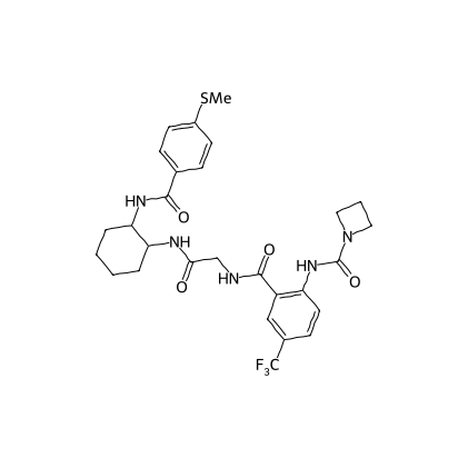 CSc1ccc(C(=O)NC2CCCCC2NC(=O)CNC(=O)c2cc(C(F)(F)F)ccc2NC(=O)N2CCC2)cc1